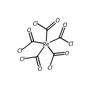 O=[C](Cl)[Re]([C](=O)Cl)([C](=O)Cl)([C](=O)Cl)[C](=O)Cl